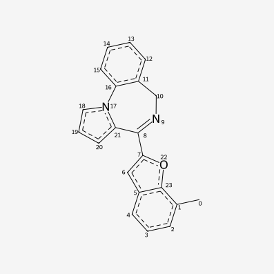 Cc1cccc2cc(C3=NCc4ccccc4-n4cccc43)oc12